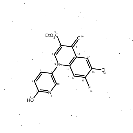 CCOC(=O)c1cn(-c2ccc(O)nc2)c2cc(F)c(Cl)cc2c1=O